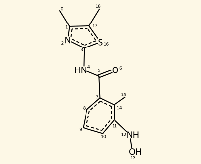 Cc1nc(NC(=O)c2cccc(NO)c2C)sc1C